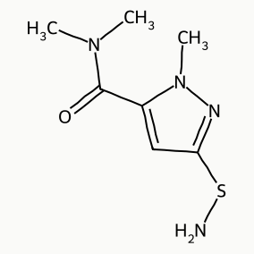 CN(C)C(=O)c1cc(SN)nn1C